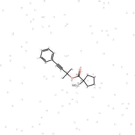 CC(C)(C#Cc1ccccc1)OC(=O)C1(C(=O)O)CCCC1